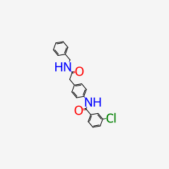 O=C(Cc1ccc(NC(=O)c2cccc(Cl)c2)cc1)NCc1ccccc1